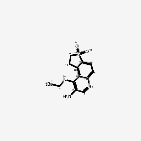 CC(C)(C)CNc1c(N)cnc2ccc3c(c12)CCS3(=O)=O